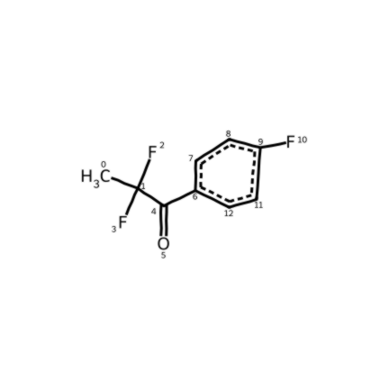 CC(F)(F)C(=O)c1ccc(F)cc1